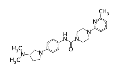 Cc1cccc(N2CCN(C(=O)Nc3ccc(N4CCC(N(C)C)C4)cc3)CC2)n1